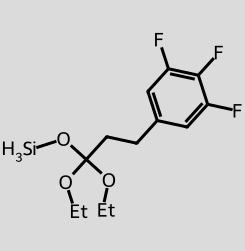 CCOC(CCc1cc(F)c(F)c(F)c1)(O[SiH3])OCC